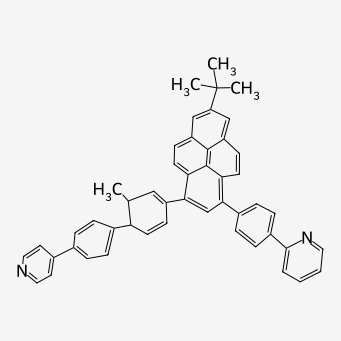 CC1C=C(c2cc(-c3ccc(-c4ccccn4)cc3)c3ccc4cc(C(C)(C)C)cc5ccc2c3c54)C=CC1c1ccc(-c2ccncc2)cc1